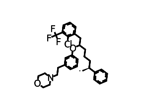 [CH2][C@@H](CCCC(Cc1cccc(C(F)(F)F)c1Cl)Oc1cccc(CCN2CCOCC2)c1)c1ccccc1